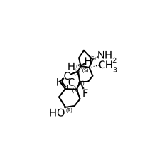 C[C@]12CC[C@@]3(F)[C@@H](CC=C4C[C@H](O)CC[C@@]43C)[C@@H]1CC[C@@H]2N